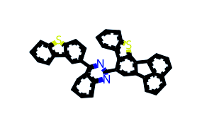 c1cc2c3c(cccc3c1)-c1c-2cc(-c2nc(-c3ccc4sc5ccccc5c4c3)c3ccccc3n2)c2c1sc1ccccc12